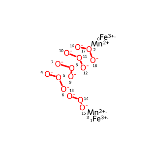 [Fe+3].[Fe+3].[Mn+2].[Mn+2].[O-]O[O-].[O-]O[O-].[O-]O[O-].[O-]O[O-].[O-]O[O-]